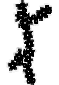 CC(C)[C@H](NC(=O)OC1CCCC1)C(=O)N1C[C@H](OC(=O)N2Cc3cc4c(cc3C2)OCO4)C[C@H]1c1nc(-c2ccc(-c3ccc(-c4cnc([C@@H]5C[C@@H](OC(=O)N6Cc7cc8c(cc7C6)OCO8)CN5C(=O)[C@@H](NC(=O)OC5CCCC5)C(C)C)[nH]4)cc3)cc2)c[nH]1